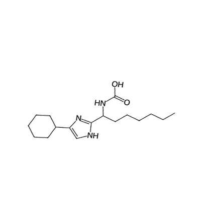 CCCCCCC(NC(=O)O)c1nc(C2CCCCC2)c[nH]1